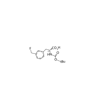 CC(C)(C)OC(=O)N[C@@H](Cc1cccc(CF)c1)C(=O)O